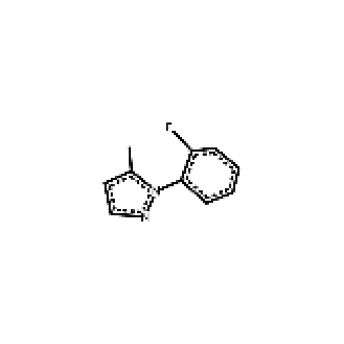 Fc1ccccc1-n1nccc1I